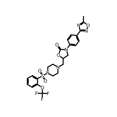 Cc1nc(-c2ccc(N3CC(CN4CCN(S(=O)(=O)c5ccccc5OC(F)(F)F)CC4)OC3=O)cc2)no1